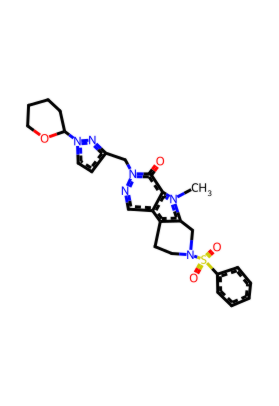 Cn1c2c(c3cnn(Cc4ccn(C5CCCCO5)n4)c(=O)c31)CCN(S(=O)(=O)c1ccccc1)C2